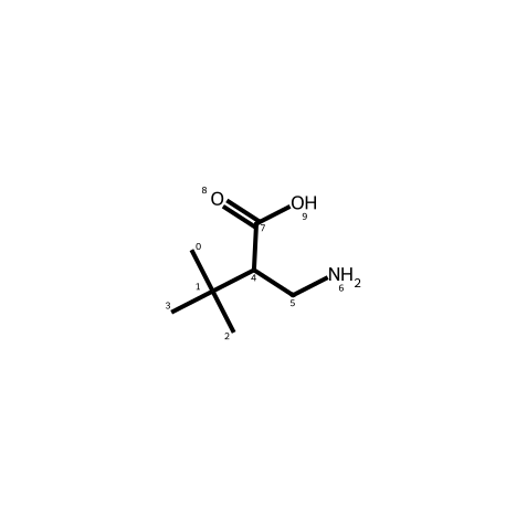 CC(C)(C)C(CN)C(=O)O